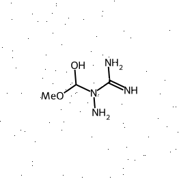 COC(O)N(N)C(=N)N